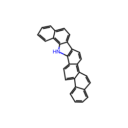 c1ccc2c(c1)ccc1c2ccc2c1ccc1c3ccc4ccccc4c3[nH]c21